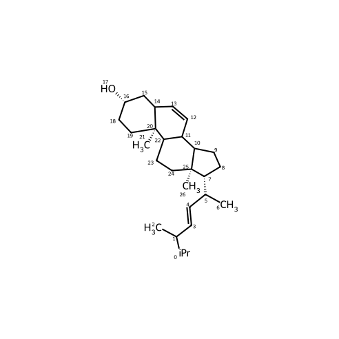 CC(C)C(C)/C=C/C(C)[C@H]1CCC2C3C=CC4C[C@@H](O)CC[C@]4(C)C3CC[C@@]21C